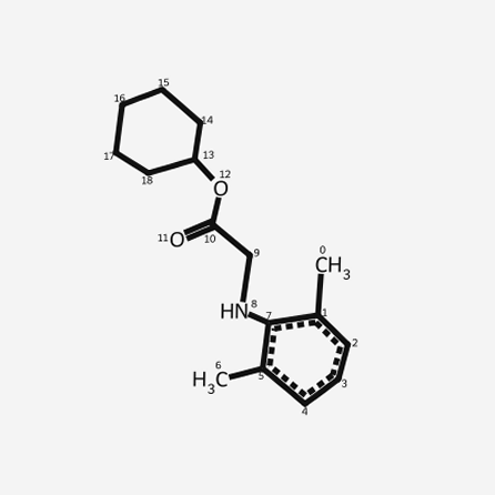 Cc1cccc(C)c1NCC(=O)OC1CCCCC1